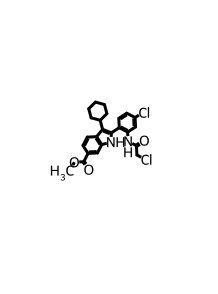 COC(=O)c1ccc2c(C3CCCCC3)c(-c3ccc(Cl)cc3NC(=O)CCl)[nH]c2c1